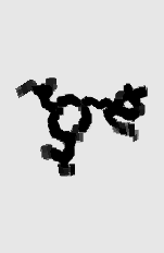 CC1(C)OCC(CN)(CCCN2CCN(CC(=O)O)CCN(CC(=O)O)CC2)O1